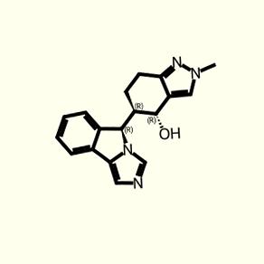 Cn1cc2c(n1)CC[C@H]([C@@H]1c3ccccc3-c3cncn31)[C@H]2O